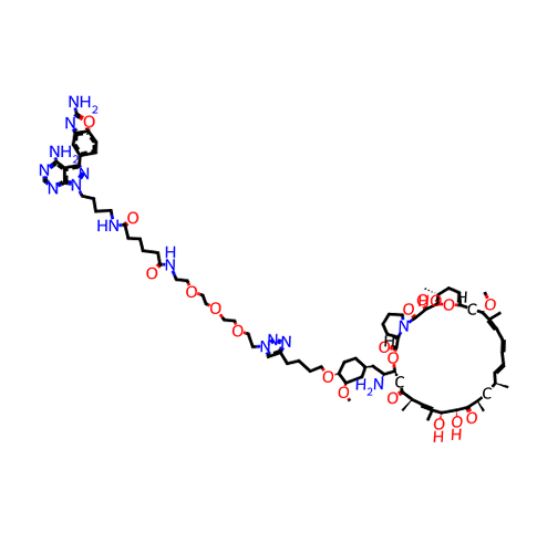 CO[C@H]1C[C@@H]2CC[C@@H](C)[C@@](O)(O2)C(=O)C(=O)N2CCCC[C@H]2C(=O)O[C@H]([C@H](N)C[C@@H]2CC[C@@H](OCCCCc3cn(CCOCCOCCOCCNC(=O)CCCCC(=O)NCCCCn4nc(-c5ccc6oc(N)nc6c5)c5c(N)ncnc54)nn3)[C@H](OC)C2)CC(=O)[C@H](C)/C=C(\C)[C@@H](O)[C@@H](O)C(=O)[C@H](C)C[C@H](C)/C=C/C=C/C=C/1C